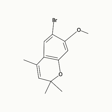 COc1cc2c(cc1Br)C(C)=CC(C)(C)O2